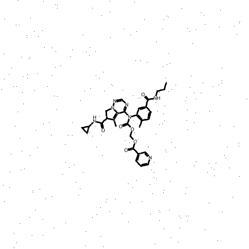 CCCNC(=O)c1ccc(C)c(N(C(=O)OCOC(=O)c2cccnc2)C2=NC=NN3CC(C(=O)NC4CC4)C(C)=C23)c1